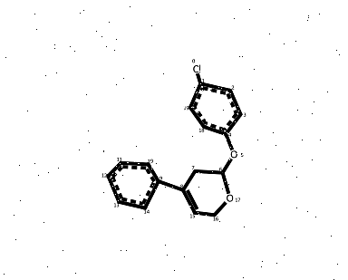 Clc1ccc(OC2CC(c3ccccc3)=CCO2)cc1